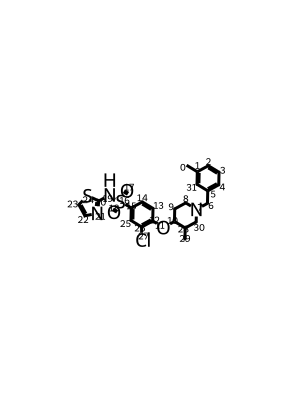 Cc1cccc(CN2CCC(Oc3ccc(S(=O)(=O)Nc4nccs4)cc3Cl)C(C)C2)c1